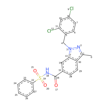 Cc1nn(Cc2ccc(Cl)cc2Cl)c2cc(C(=O)NS(=O)(=O)c3ccccc3)ccc12